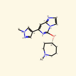 CC(=O)N1CCC[C@@H](Oc2nc(-c3cnn(C)c3)cc3nccn23)CC1